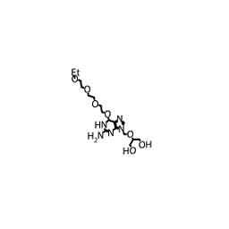 CCOCCOCCOCCOC1NC(N)=Nc2c1ncn2COC(CO)CO